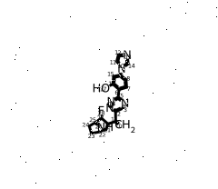 C=C(c1cnc(-c2ccc(-n3ccnc3)cc2O)nn1)C1CC2CCC(N2)[C@H]1F